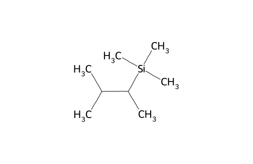 CC(C)C(C)[Si](C)(C)C